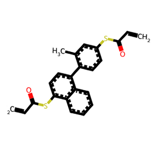 C=CC(=O)Sc1ccc(-c2ccc(SC(=O)C=C)c3ccccc23)c(C)c1